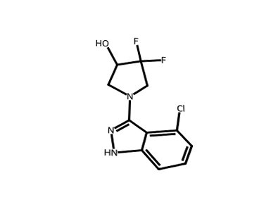 OC1CN(c2n[nH]c3cccc(Cl)c23)CC1(F)F